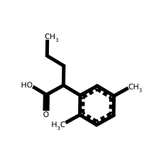 CCCC(C(=O)O)c1cc(C)ccc1C